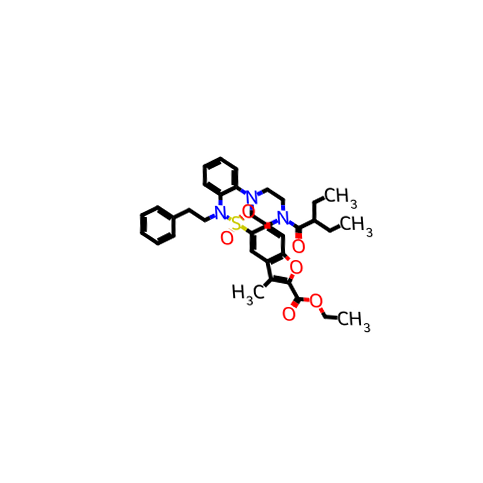 CCOC(=O)c1oc2ccc(S(=O)(=O)N(CCc3ccccc3)c3ccccc3N3CCN(C(=O)C(CC)CC)CC3)cc2c1C